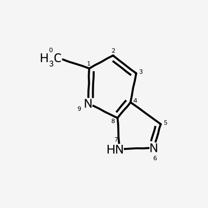 Cc1ccc2cn[nH]c2n1